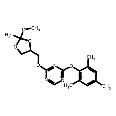 COC1(C)OCC(COc2ncnc(Oc3c(C)cc(C)cc3C)n2)O1